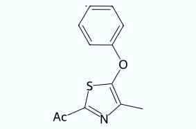 CC(=O)c1nc(C)c(Oc2cc[c]cc2)s1